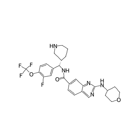 O=C(NC(c1ccc(OC(F)(F)F)c(F)c1)[C@H]1CCCNC1)c1ccc2cnc(NC3CCOCC3)nc2c1